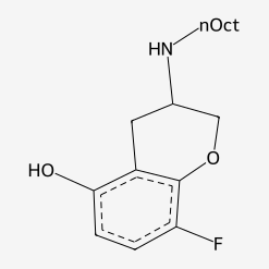 CCCCCCCCNC1COc2c(F)ccc(O)c2C1